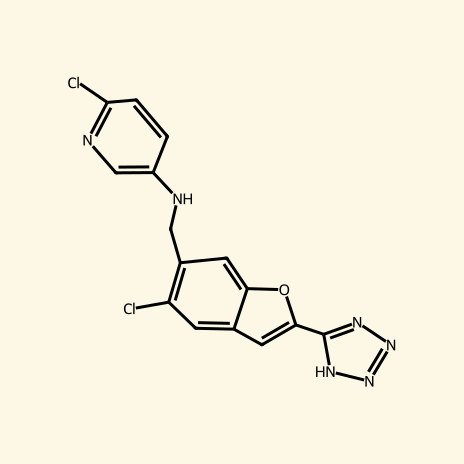 Clc1ccc(NCc2cc3oc(-c4nnn[nH]4)cc3cc2Cl)cn1